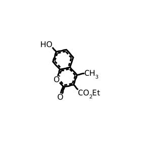 CCOC(=O)c1c(C)c2ccc(O)cc2oc1=O